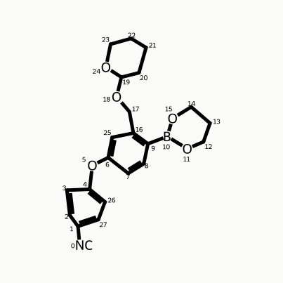 [C-]#[N+]c1ccc(Oc2ccc(B3OCCCO3)c(COC3CCCCO3)c2)cc1